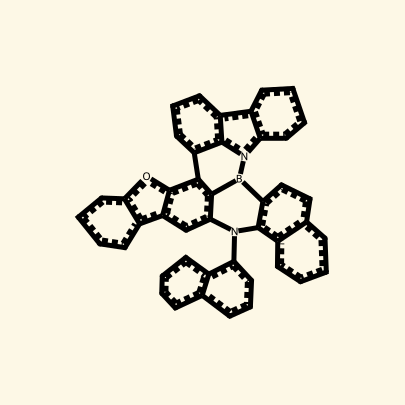 c1ccc2c(N3c4cc5c(oc6ccccc65)c5c4B(c4ccc6ccccc6c43)n3c4ccccc4c4cccc-5c43)cccc2c1